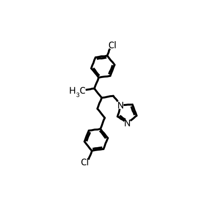 CC(c1ccc(Cl)cc1)C(CCc1ccc(Cl)cc1)Cn1ccnc1